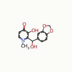 Cn1ccc(=O)c(O)c1C(O)c1ccc2c(c1)OCO2